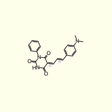 CN(C)c1ccc(/C=C/C=C2/C(=O)NC(=O)N(c3ccccc3)C2=O)cc1